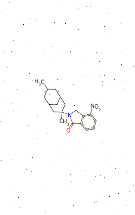 CC1CC2CC(C1)CC(C)(N1Cc3c(cccc3[N+](=O)[O-])C1=O)C2